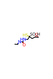 CC=NC(=O)NCC(S)(CC1CO1)S(=O)(=O)O